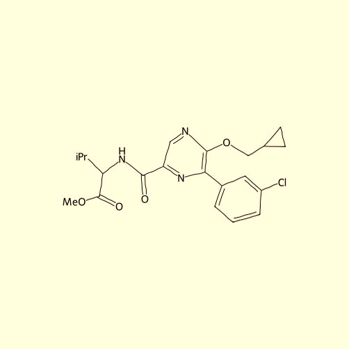 COC(=O)C(NC(=O)c1cnc(OCC2CC2)c(-c2cccc(Cl)c2)n1)C(C)C